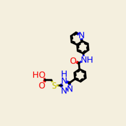 O=C(O)CSc1nnc(-c2cccc(C(=O)Nc3ccc4ncccc4c3)c2)[nH]1